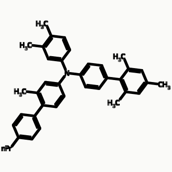 CCCc1ccc(-c2ccc(N(c3ccc(-c4c(C)cc(C)cc4C)cc3)c3ccc(C)c(C)c3)cc2C)cc1